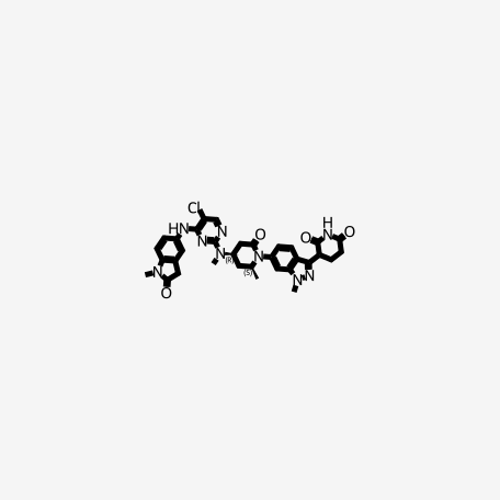 C[C@H]1C[C@@H](N(C)c2ncc(Cl)c(Nc3ccc4c(c3)CC(=O)N4C)n2)CC(=O)N1c1ccc2c(C3CCC(=O)NC3=O)nn(C)c2c1